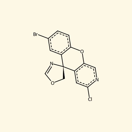 Clc1cc2c(cn1)Oc1ccc(Br)cc1[C@]21COC=N1